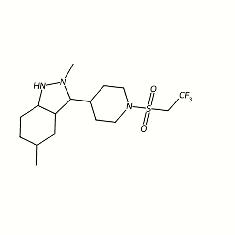 CC1CCC2NN(C)C(C3CCN(S(=O)(=O)CC(F)(F)F)CC3)C2C1